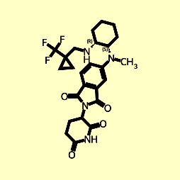 CN(c1ccc2c(c1)C(=O)N(C1CCC(=O)NC1=O)C2=O)[C@H]1CCCC[C@H]1NCC1(C(F)(F)F)CC1